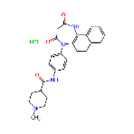 CN1CCC(C(=O)Nc2ccc(N3C(=O)CC(=O)Nc4c3ccc3ccccc43)cc2)CC1.Cl